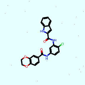 O=C(Nc1ccc(Cl)c(NC(=O)c2cc3ccccc3[nH]2)c1)c1ccc2c(c1)OCCO2